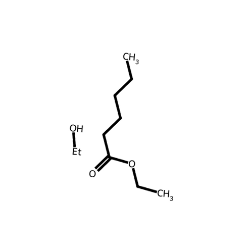 CCCCCC(=O)OCC.CCO